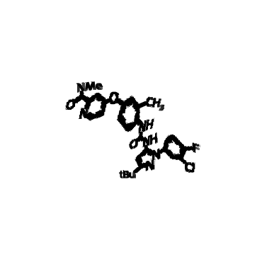 CNC(=O)c1cc(Oc2ccc(NC(=O)Nc3cc(C(C)(C)C)nn3-c3ccc(F)c(Cl)c3)c(C)c2)ccn1